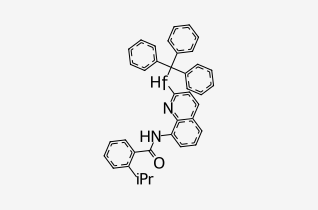 CC(C)c1ccccc1C(=O)Nc1cccc2cc[c]([Hf][C](c3ccccc3)(c3ccccc3)c3ccccc3)nc12